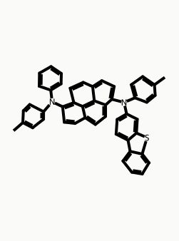 Cc1ccc(N(c2ccccc2)c2ccc3ccc4c(N(c5ccc(C)cc5)c5ccc6c(c5)sc5ccccc56)ccc5ccc2c3c54)cc1